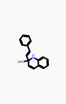 O=CC1(C=Cc2ccccc2)C=Cc2ccccc2N1